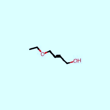 CCOCC=CCO